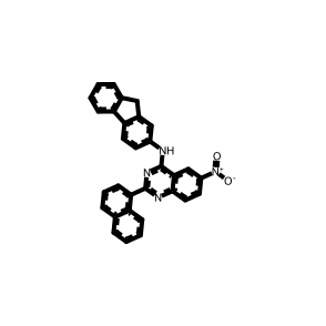 O=[N+]([O-])c1ccc2nc(-c3cccc4ccccc34)nc(Nc3ccc4c(c3)Cc3ccccc3-4)c2c1